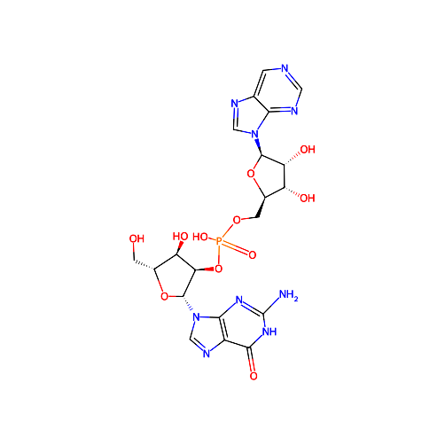 Nc1nc2c(ncn2[C@@H]2O[C@H](CO)[C@@H](O)[C@H]2OP(=O)(O)OC[C@H]2O[C@@H](n3cnc4cncnc43)[C@H](O)[C@@H]2O)c(=O)[nH]1